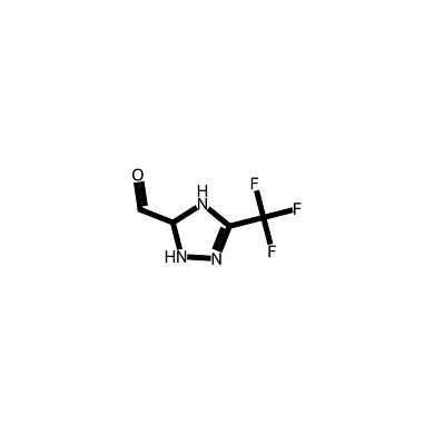 O=CC1NN=C(C(F)(F)F)N1